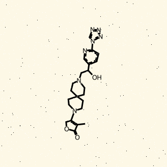 CC1=C(N2CCC3(CCN(CC(O)c4ccc(-n5cnnn5)nc4)CC3)CC2)COC1=O